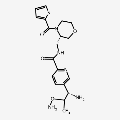 NOC([C@@H](N)c1ccc(C(=O)NC[C@H]2COCCN2C(=O)c2cccs2)nc1)C(F)(F)F